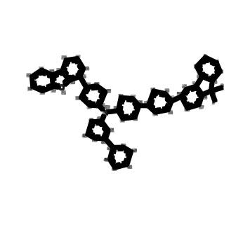 CC1(C)c2ccccc2-c2cc(-c3ccc(-c4ccc(N(c5ccc(-c6cccc7c6oc6ccccc67)cc5)c5cccc(-c6ccccc6)c5)cc4)cc3)ccc21